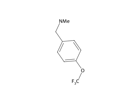 CNCc1ccc(OC(F)(F)F)cc1